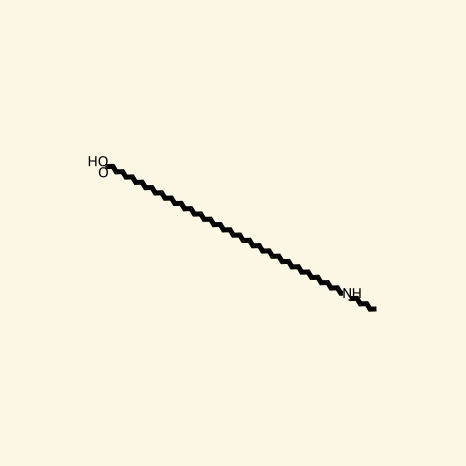 CCCCCCNCCCCCCCCCCCCCCCCCCCCCCCCCCCCCCCCCCCCCCCCCCCCCCCCC(=O)O